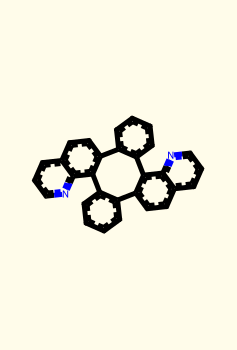 c1ccc2c(c1)-c1ccc3cccnc3c1-c1ccccc1-c1ccc3cccnc3c1-2